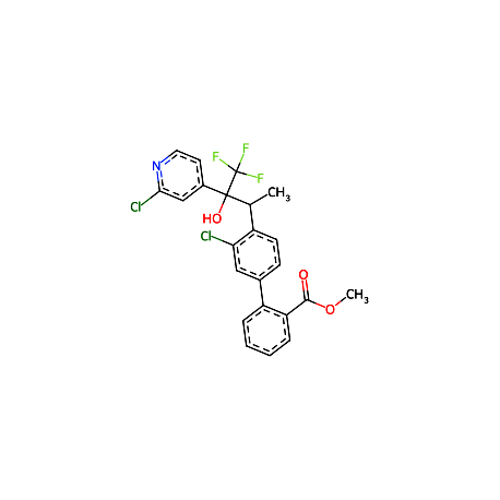 COC(=O)c1ccccc1-c1ccc(C(C)C(O)(c2ccnc(Cl)c2)C(F)(F)F)c(Cl)c1